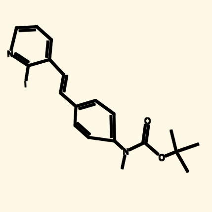 CN(C(=O)OC(C)(C)C)c1ccc(/C=C/c2cccnc2I)cc1